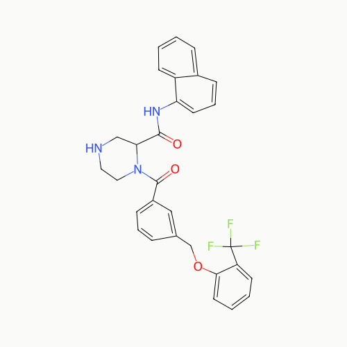 O=C(Nc1cccc2ccccc12)C1CNCCN1C(=O)c1cccc(COc2ccccc2C(F)(F)F)c1